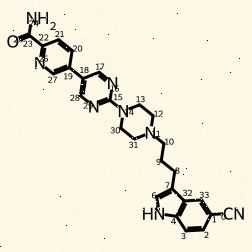 N#Cc1ccc2[nH]cc(CCCN3CCN(c4ncc(-c5ccc(C(N)=O)nc5)cn4)CC3)c2c1